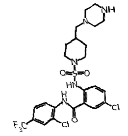 O=C(Nc1ccc(C(F)(F)F)cc1Cl)c1cc(Cl)ccc1NS(=O)(=O)N1CCC(CN2CCNCC2)CC1